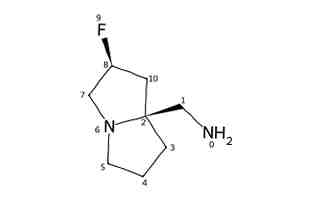 NC[C@@]12CCCN1C[C@@H](F)C2